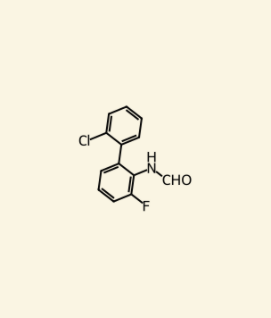 O=CNc1c(F)cccc1-c1ccccc1Cl